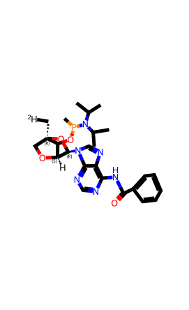 [2H]C[C@@]12CO[C@@H](C1OP(C)N(C(C)C)C(C)C)[C@H](n1cnc3c(NC(=O)c4ccccc4)ncnc31)O2